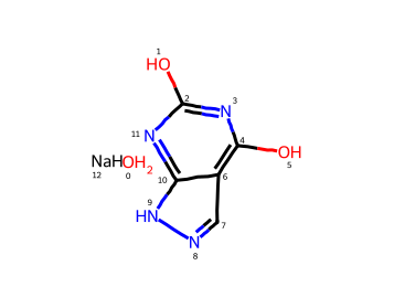 O.Oc1nc(O)c2cn[nH]c2n1.[NaH]